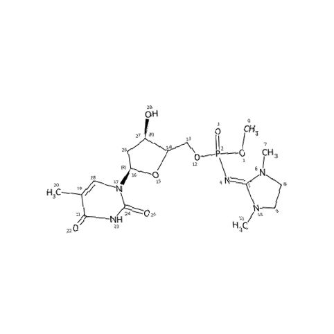 COP(=O)(N=C1N(C)CCN1C)OCC1O[C@@H](n2cc(C)c(=O)[nH]c2=O)C[C@H]1O